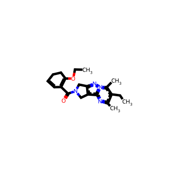 CCOC1=C(C(=O)N2Cc3nn4c(C)c(CC)c(C)nc4c3C2)C=CCC1